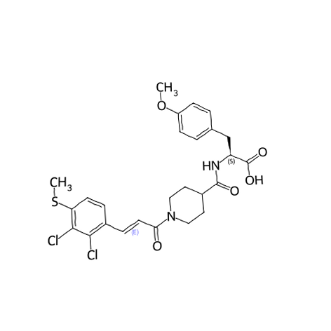 COc1ccc(C[C@H](NC(=O)C2CCN(C(=O)/C=C/c3ccc(SC)c(Cl)c3Cl)CC2)C(=O)O)cc1